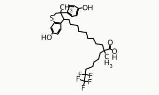 CC(CCCCCCCCCC1c2ccc(O)cc2SCC1(C)c1ccc(O)cc1)(CCCCCC(F)(F)C(F)(F)F)C(=O)O